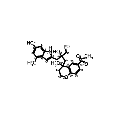 Cc1cc(C#N)cc2[nH]c(CC(O)(CF)CC3(C)CCOc4ccc(S(C)(=O)=O)cc43)cc12